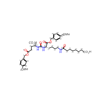 COc1ccc(COC(=O)CC[C@H](NC(=O)N[C@@H](CCCCNC(=O)CCCCCCC(=O)O)C(=O)OCc2ccc(OC)cc2)C(=O)O)cc1